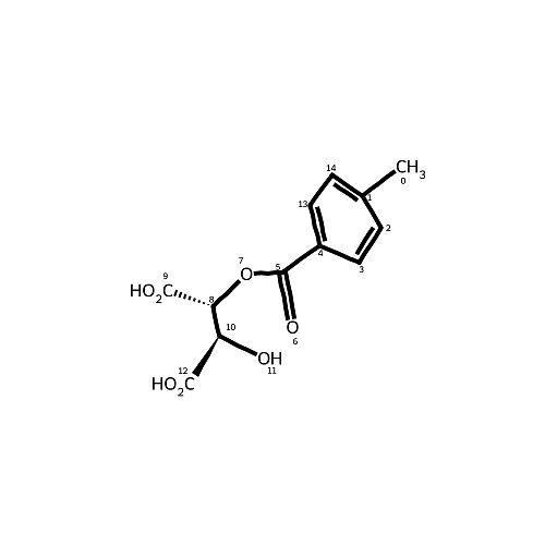 Cc1ccc(C(=O)O[C@@H](C(=O)O)[C@@H](O)C(=O)O)cc1